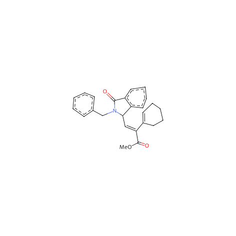 COC(=O)/C(=C/C1c2ccccc2C(=O)N1Cc1ccccc1)C1=CCCCC1